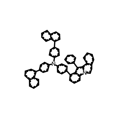 c1ccc(-c2c3c(-c4ccc(N(c5ccc(-c6cccc7ccccc67)cc5)c5ccc(-c6cccc7ccccc67)cc5)cc4)cccc3n3ccc4ccccc4c23)cc1